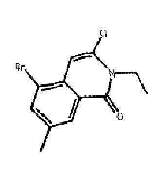 CCn1c(Cl)cc2c(Br)cc(C)cc2c1=O